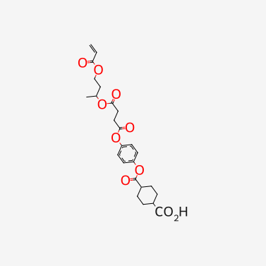 C=CC(=O)OCCC(C)OC(=O)CCC(=O)Oc1ccc(OC(=O)C2CCC(C(=O)O)CC2)cc1